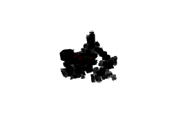 CC[C@H](C)[C@]([C@@H](CC=O)OC)(N(C)[C@H](C(=O)NC(=O)[C@H](C(C)C)N(C)CCCCCCN1C(=O)CC(SC[C@H](N)C(=O)O)C1=O)C(C)C)N1CCC[C@H]1[C@H](OC)[C@@H](C)C(=O)N[C@@H](Cc1c[nH]c2ccccc12)C(N)=O